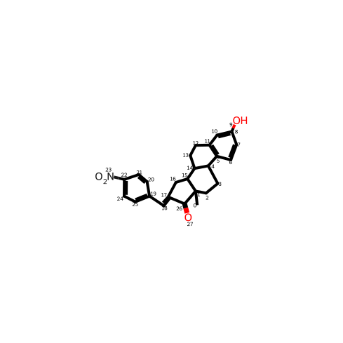 CC12CCC3c4ccc(O)cc4CCC3C1C/C(=C\c1ccc([N+](=O)[O-])cc1)C2=O